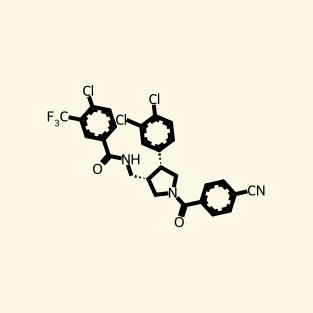 N#Cc1ccc(C(=O)N2C[C@H](CNC(=O)c3ccc(Cl)c(C(F)(F)F)c3)[C@H](c3ccc(Cl)c(Cl)c3)C2)cc1